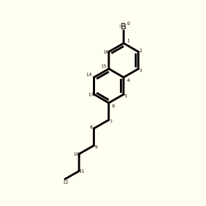 [B]c1ccc2cc(CCCCCC)ccc2c1